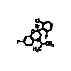 CC(C)N1CC(Br)(c2c(F)cccc2Cl)Oc2cc(F)ccc21